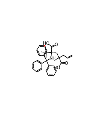 C=CCC(C)(C[C@@](NC(c1ccccc1)(c1ccccc1)c1ccccc1)(C(=O)O)C(C)(C)C)C(=O)O